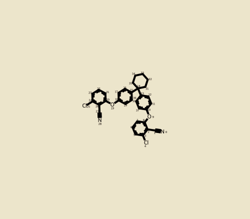 N#Cc1c(Cl)cccc1Oc1ccc(C2(c3ccc(Oc4cccc(Cl)c4C#N)cc3)CCCCC2)cc1